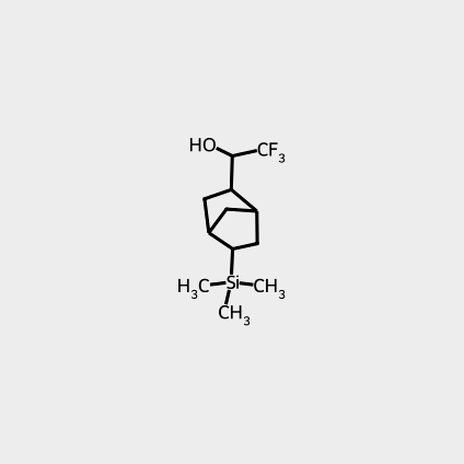 C[Si](C)(C)C1CC2CC1CC2C(O)C(F)(F)F